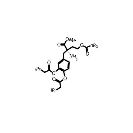 CCCCC(=O)OCC[C@@](N)(Cc1ccc(OC(=O)CC(C)C)c(OC(=O)CC(C)C)c1)C(=O)OC